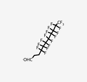 O=[C]CCC(F)(F)C(F)(F)C(F)(F)C(F)(F)C(F)(F)C(F)(F)C(F)(F)C(F)(F)F